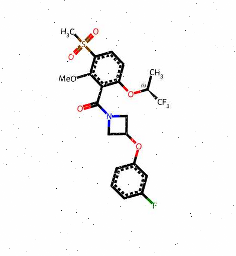 COc1c(S(C)(=O)=O)ccc(O[C@@H](C)C(F)(F)F)c1C(=O)N1CC(Oc2cccc(F)c2)C1